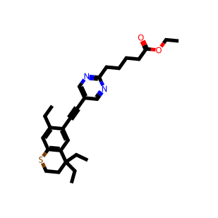 CCOC(=O)CCCCc1ncc(C#Cc2cc3c(cc2CC)SCCC3(CC)CC)cn1